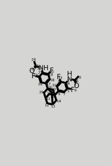 CC(=O)Nc1c(F)cc(C23CC4CC(C2)CC(c2cc(F)c(NC(C)=O)c(F)c2)(C4)C3)cc1F